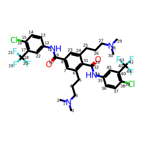 CN(C)CCCc1cc(C(=O)Nc2ccc(Cl)c(C(F)(F)F)c2)cc(CCCN(C)C)c1C(=O)Nc1ccc(Cl)c(C(F)(F)F)c1